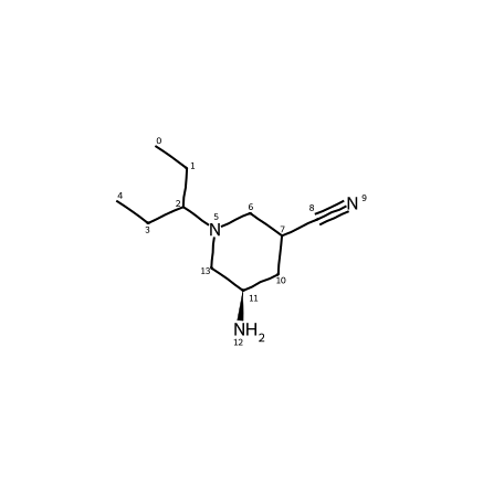 CCC(CC)N1CC(C#N)C[C@@H](N)C1